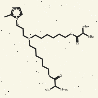 CCCCCCC(CCCC)C(=O)OCCCCCCN(CCCCCCOC(=O)C(CCCC)CCCCCC)CCCn1ccnc1C